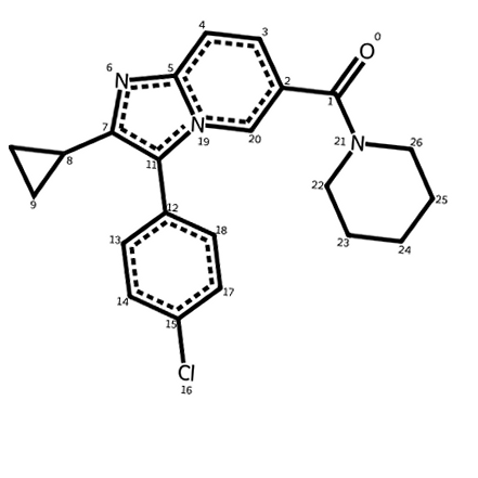 O=C(c1ccc2nc(C3CC3)c(-c3ccc(Cl)cc3)n2c1)N1CCCCC1